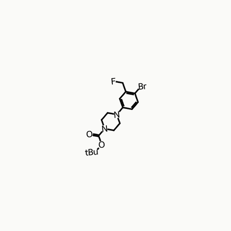 CC(C)(C)OC(=O)N1CCN(c2ccc(Br)c(CF)c2)CC1